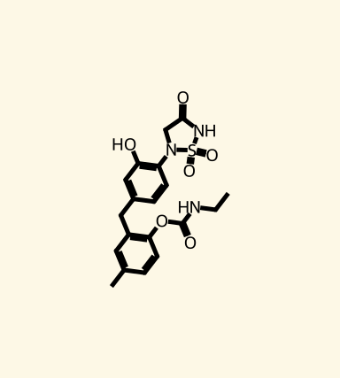 CCNC(=O)Oc1ccc(C)cc1Cc1ccc(N2CC(=O)NS2(=O)=O)c(O)c1